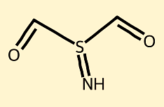 N=S(C=O)C=O